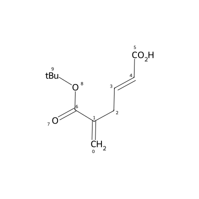 C=C(CC=CC(=O)O)C(=O)OC(C)(C)C